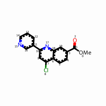 COC(=O)c1ccc2c(Cl)cc(-c3cccnc3)nc2c1